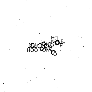 Cc1ncnc(C(=O)N2CCC3(CCc4c3c(=O)n3nc(C5=CCOCC5)nc3n4CC(=O)Nc3ccc(C(F)(F)F)cc3Cl)C3CCCC32)c1O